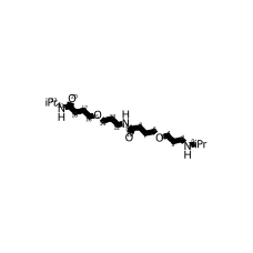 CC(C)NCCCOCCCC(=O)NCCCOCCCC(=O)NC(C)C